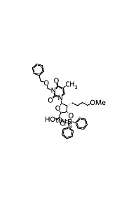 COCCCC[C@H]1C(n2cc(C)c(=O)n(COCc3ccccc3)c2=O)O[C@H]([C@@H](C)O)[C@H]1O[Si](c1ccccc1)(c1ccccc1)C(C)(C)C